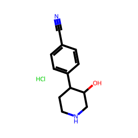 Cl.N#Cc1ccc(C2CCNCC2O)cc1